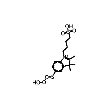 CC1=[N+](CCCCS(=O)(=O)O)c2ccc(SOOO)cc2C1(C)C